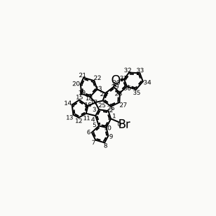 Brc1cc2c(c3ccccc13)-c1ccccc1C21c2ccccc2-c2c1ccc1c2oc2ccccc21